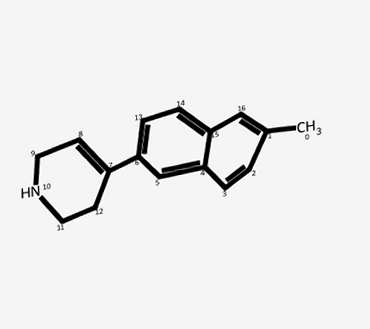 Cc1ccc2cc(C3=CCNCC3)ccc2c1